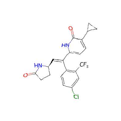 O=C1CC[C@H](/C=C(/c2ccc(C3CC3)c(=O)[nH]2)c2ccc(Cl)cc2C(F)(F)F)N1